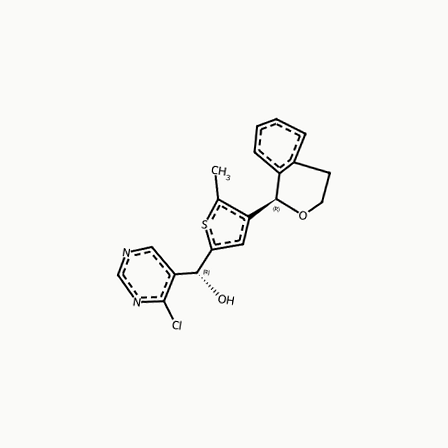 Cc1sc([C@H](O)c2cncnc2Cl)cc1[C@@H]1OCCc2ccccc21